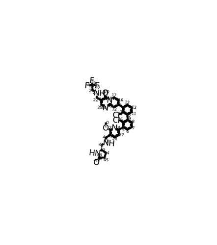 COc1nc(-c2cccc(-c3cccc(-c4ccn5c(=O)c(CNCC(F)(F)F)cnc5c4)c3Cl)c2Cl)ccc1CNC[C@H]1CCC(=O)N1